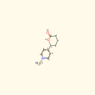 C[n+]1ccc(C2CCCC(=O)O2)cc1